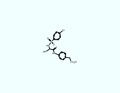 CCCC(NS(=O)(=O)c1ccc(Cl)cc1)C(=S)Nc1ccc(CC(=O)OCC)cc1